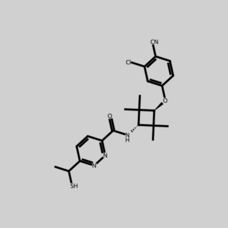 CC(S)c1ccc(C(=O)N[C@H]2C(C)(C)[C@H](Oc3ccc(C#N)c(Cl)c3)C2(C)C)nn1